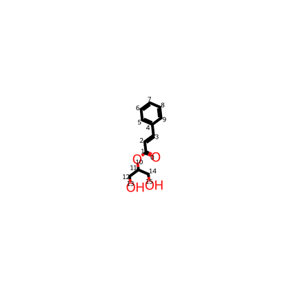 O=C(/C=C/c1ccccc1)OC(CO)CO